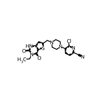 CCn1c(=O)[nH]c2cc(CN3CCN(c4ccc(C#N)nc4Cl)CC3)sc2c1=O